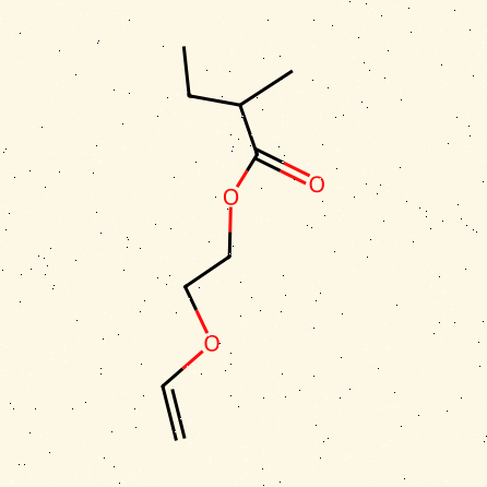 C=COCCOC(=O)C(C)CC